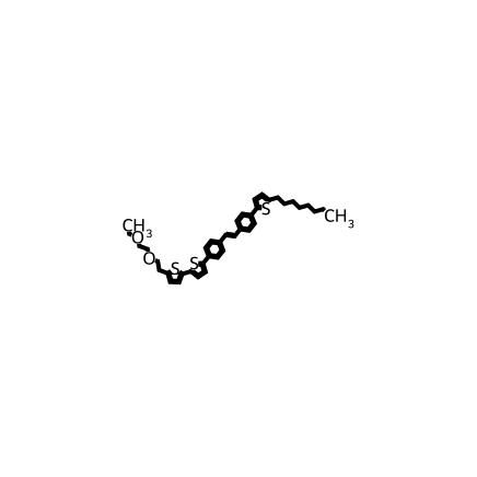 CCCCCCCCc1ccc(-c2ccc(/C=C/c3ccc(-c4ccc(-c5ccc(CCOCCOCC)s5)s4)cc3)cc2)s1